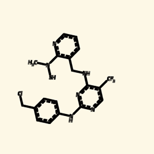 CN(S)c1ncccc1CNc1nc(Nc2ccc(CCl)cc2)ncc1C(F)(F)F